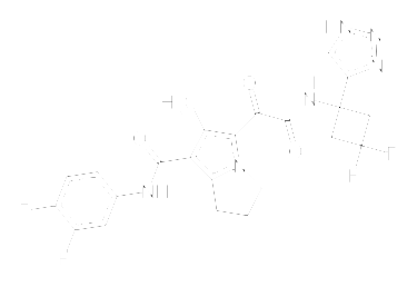 Cc1c(C(=O)Nc2ccc(F)c(F)c2)c2n(c1C(=O)C(=O)NC1(c3c[nH]nn3)CC(F)(F)C1)CCC2